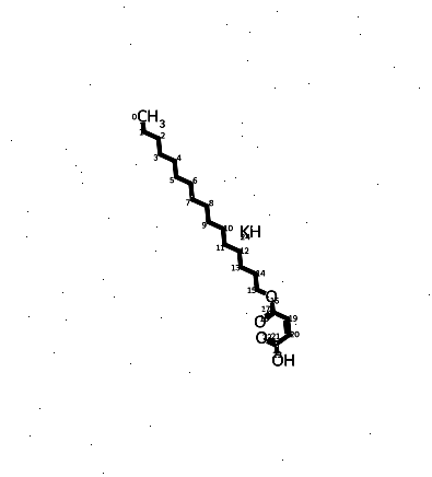 CCCCCCCCCCCCCCCCOC(=O)/C=C\C(=O)O.[KH]